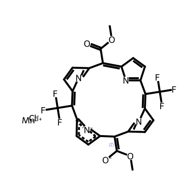 COC(=O)C1=C2C=CC(=N2)C(C(F)(F)F)=C2C=CC(=N2)/C(=C(/[O-])OC)c2ccc([n-]2)C(C(F)(F)F)=C2C=CC1=N2.[Cl-].[Mn+3]